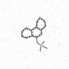 CS(C)(C)Cc1cc2ccccc2c2ccccc12